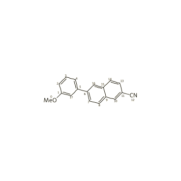 COc1cccc(-c2ccc3cc(C#N)ccc3c2)c1